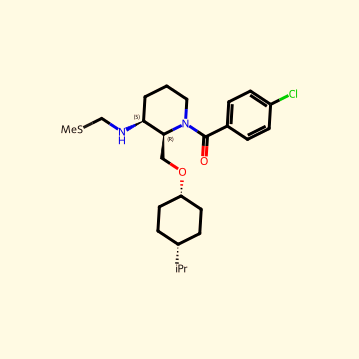 CSCN[C@H]1CCCN(C(=O)c2ccc(Cl)cc2)[C@H]1CO[C@H]1CC[C@@H](C(C)C)CC1